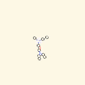 C1=CC(c2ccc(-c3nc(-c4ccccc4)nc(-c4ccc5c(c4)oc4cc(-n6c7ccc8ccccc8c7c7c8ccccc8ccc76)ccc45)n3)cc2)=CCC1